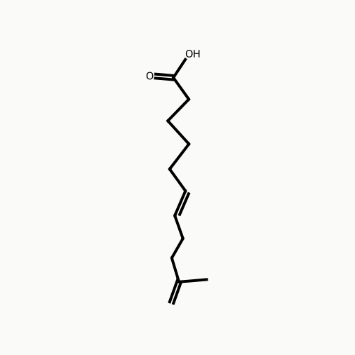 C=C(C)CCC=CCCCCC(=O)O